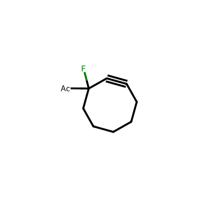 CC(=O)C1(F)C#CCCCCC1